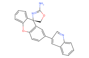 NC1=N[C@@]2(CO1)c1ccccc1Oc1ccc(-c3cnc4ccccc4c3)cc12